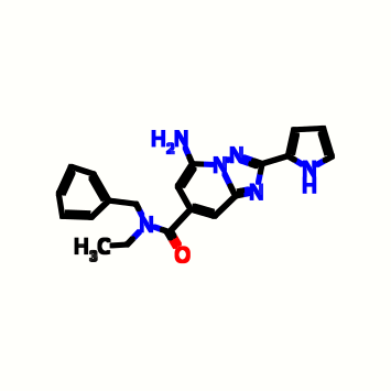 CCN(Cc1ccccc1)C(=O)c1cc(N)n2nc(-c3ccc[nH]3)nc2c1